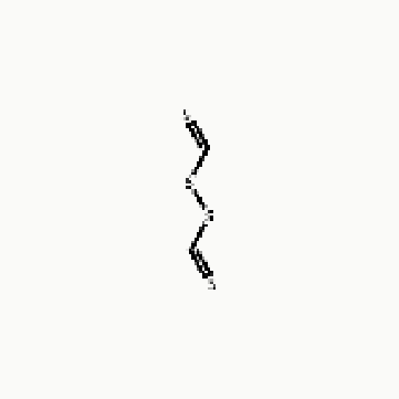 S=CSSC=S